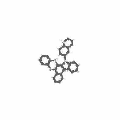 c1ccc2c(c1)Sc1c(c3c(c4ccccc14)c1ccccc1n3-c1ccc3ncccc3c1)S2